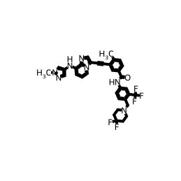 Cc1ccc(C(=O)Nc2ccc(CN3CCC(F)(F)CC3)c(C(F)(F)F)c2)cc1C#Cc1cnc2c(Nc3cnn(C)c3)cccn12